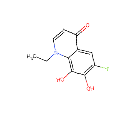 CCn1c[c]c(=O)c2cc(F)c(O)c(O)c21